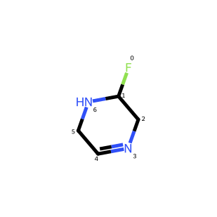 FC1CN=CCN1